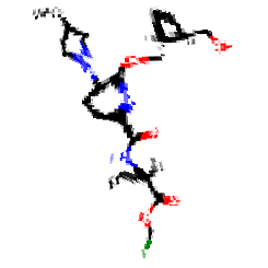 CCC(CC)(NC(=O)c1ccc(N2CC(OC)C2)c(OC[C@@H]2C[C@H]2CO)n1)C(=O)OCF